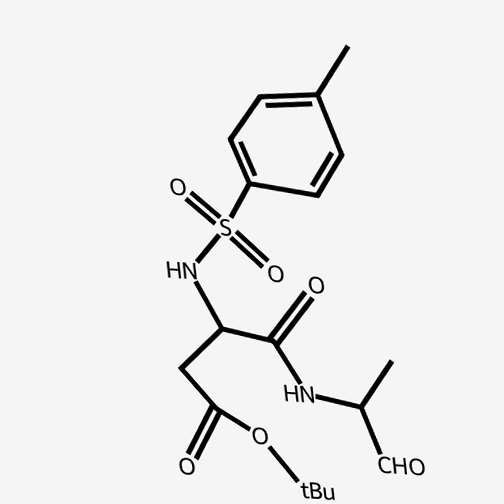 Cc1ccc(S(=O)(=O)NC(CC(=O)OC(C)(C)C)C(=O)NC(C)C=O)cc1